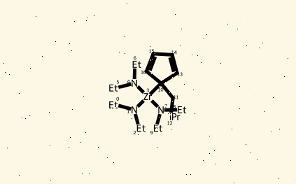 CC[N](CC)[Zr]([N](CC)CC)([N](CC)CC)[C]1(CC(C)C)C=CC=C1